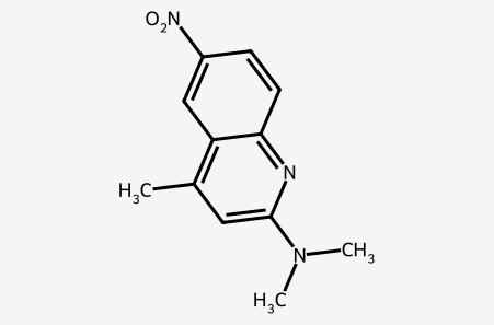 Cc1cc(N(C)C)nc2ccc([N+](=O)[O-])cc12